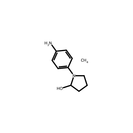 C.Nc1ccc(N2CCCC2O)cc1